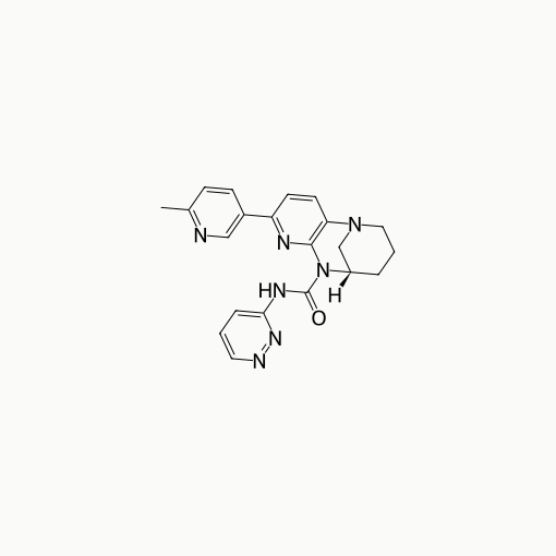 Cc1ccc(-c2ccc3c(n2)N(C(=O)Nc2cccnn2)[C@H]2CCCN3C2)cn1